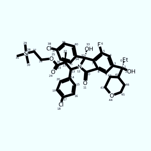 CC[C@@](O)(c1cc(F)c2c(c1)C(=O)N(C(c1ccc(Cl)cc1)[C@H](C)C(=O)OCC[Si](C)(C)C)[C@@]2(O)c1ccc(Cl)cc1)C1CCOCC1